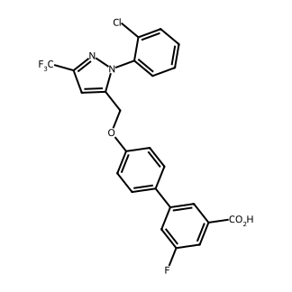 O=C(O)c1cc(F)cc(-c2ccc(OCc3cc(C(F)(F)F)nn3-c3ccccc3Cl)cc2)c1